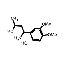 COc1ccc(C(N)CC(C)O)cc1OC.Cl